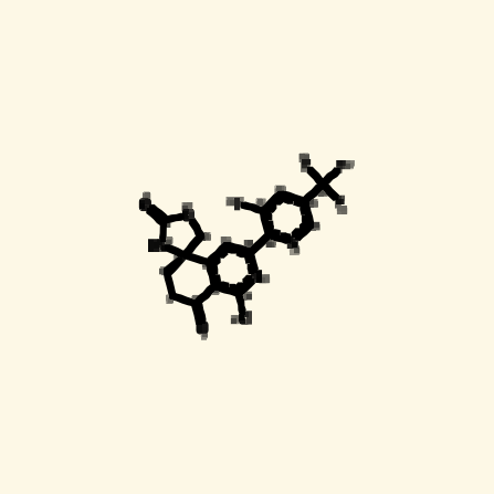 O=C1N[C@]2(CCC(=O)c3c2cc(-c2ncc(C(F)(F)F)cc2F)nc3Cl)CO1